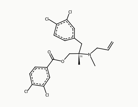 C=CCN(C)[C@](C)(COC(=O)c1ccc(Cl)c(Cl)c1)Cc1ccc(Cl)c(Cl)c1